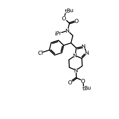 CC(C)N(CC(c1ccc(Cl)cc1)c1nnc2n1CCN(C(=O)OC(C)(C)C)C2)C(=O)OC(C)(C)C